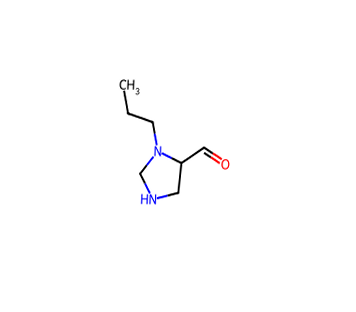 CCCN1CNCC1C=O